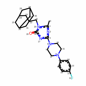 Cc1nc(N2CCN(c3ccc(F)cc3)CC2)nc(=O)n1CC12CC3CC(CC(C3)C1)C2